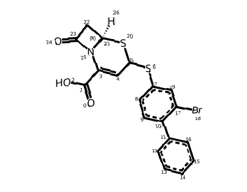 O=C(O)C1=CC(Sc2ccc(-c3ccccc3)c(Br)c2)S[C@@H]2CC(=O)N12